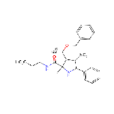 CC[C@H](C)C(OCc1ccccc1)C1C([N+](=O)[O-])C(c2ccccc2)NC1(C)C(=O)NCCC(=O)O